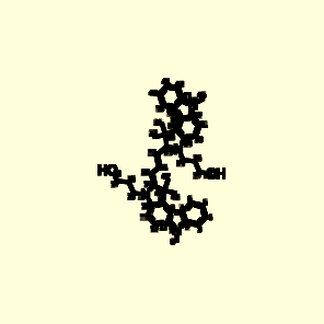 Cn1c2ccccc2c2c3c(ccc21)N(CCCO)/C(=C/C=C/C1N(CCCO)c2ccc4c(c2C1(C)C)c1ccccc1n4C)C3(C)C